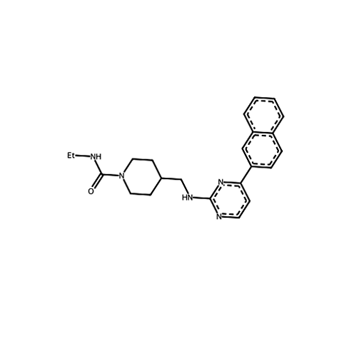 CCNC(=O)N1CCC(CNc2nccc(-c3ccc4ccccc4c3)n2)CC1